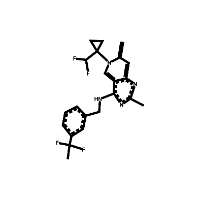 C=C1C=c2nc(C)nc(NCc3cccc(C(C)(F)F)c3)c2=CN1C1(C(F)F)CC1